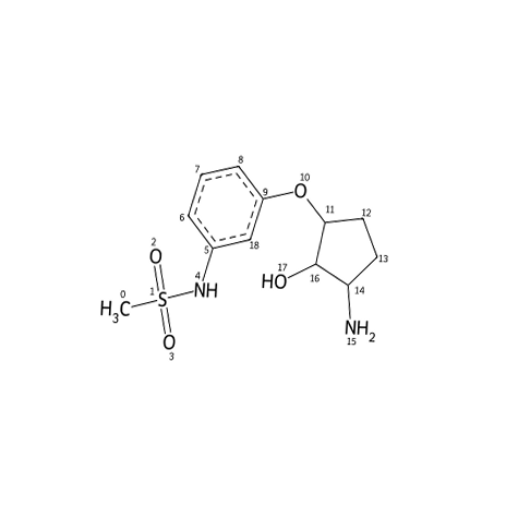 CS(=O)(=O)Nc1cccc(OC2CCC(N)C2O)c1